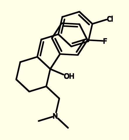 CN(C)CC1CCC/C(=C/c2ccc(Cl)cc2)C1(O)c1cccc(F)c1